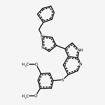 COc1cc(OC)cc(Sc2cnc3[nH]cc(-c4cnn(Cc5ccccc5)c4)c3c2)c1